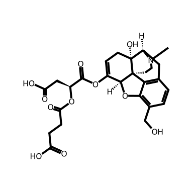 CN1CC[C@]23c4c5ccc(CO)c4O[C@H]2C(OC(=O)[C@H](CC(=O)O)OC(=O)CCC(=O)O)=CC[C@@]3(O)[C@H]1C5